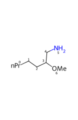 CCCCCC(CN)OC